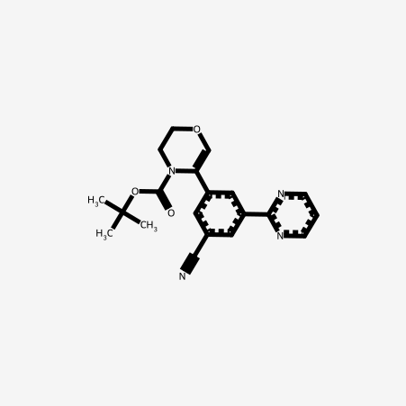 CC(C)(C)OC(=O)N1CCOC=C1c1cc(C#N)cc(-c2ncccn2)c1